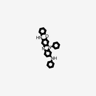 c1ccc(Nc2ccc3nc4cc5c(cc4[n+](-c4ccccc4)c3c2)Oc2ccccc2N5)cc1